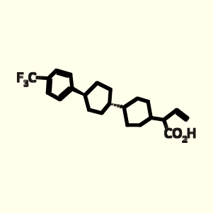 C=CC(C(=O)O)C1CCC([C@H]2CC[C@H](c3ccc(C(F)(F)F)cc3)CC2)CC1